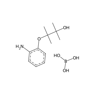 CC(C)(O)C(C)(C)Oc1ccccc1N.OB(O)O